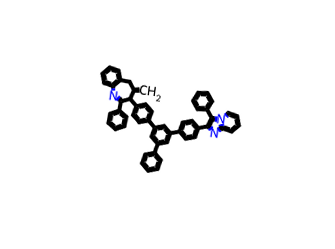 C=C1Cc2ccccc2N=C(c2ccccc2)C1c1ccc(-c2cc(-c3ccccc3)cc(-c3ccc(-c4nc5ccccn5c4-c4ccccc4)cc3)c2)cc1